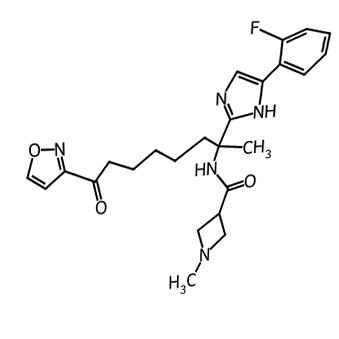 CN1CC(C(=O)NC(C)(CCCCCC(=O)c2ccon2)c2ncc(-c3ccccc3F)[nH]2)C1